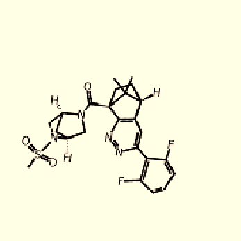 CC1(C)[C@@H]2CC[C@@]1(C(=O)N1C[C@@H]3C[C@H]1CN3S(C)(=O)=O)c1nnc(-c3c(F)cccc3F)cc12